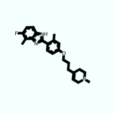 Cc1cc(OCCCC2=CCN(C)CC2)ccc1-c1nc2c(C)c(F)ccc2[nH]1